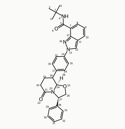 CC(C)(C)NC(=O)c1cccc2cn(-c3ccc(C4CCC(=O)N5[C@@H]4OC[C@H]5c4ccccc4)cc3)nc12